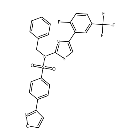 O=S(=O)(c1ccc(-c2ccon2)cc1)N(Cc1ccccc1)c1nc(-c2cc(C(F)(F)F)ccc2F)cs1